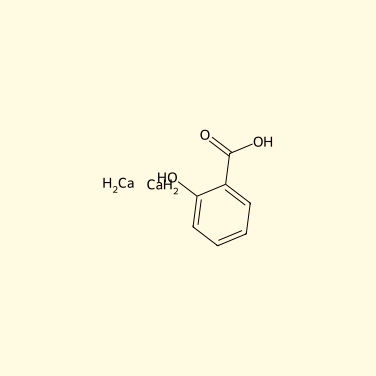 O=C(O)c1ccccc1O.[CaH2].[CaH2]